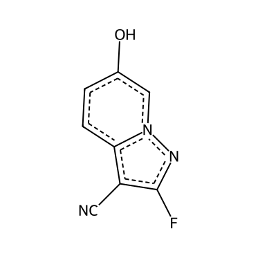 N#Cc1c(F)nn2cc(O)ccc12